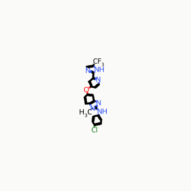 Cn1c(Nc2ccc(Cl)cc2)nc2cc(Oc3ccnc(-c4ncc(C(F)(F)F)[nH]4)c3)ccc21